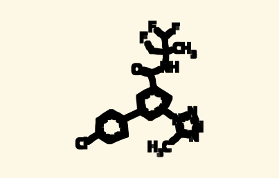 Cc1nnnn1-c1cc(C(=O)NC(C)(CF)C(F)F)cc(-c2ccc(Cl)cc2)c1